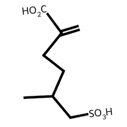 C=C(CCC(C)CS(=O)(=O)O)C(=O)O